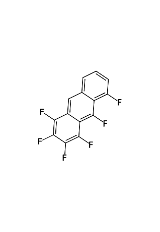 Fc1c(F)c(F)c2c(F)c3c(F)cccc3cc2c1F